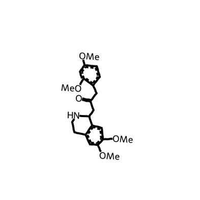 COc1ccc(CC(=O)CC2NCCc3cc(OC)c(OC)cc32)c(OC)c1